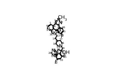 Cn1cc(-c2ccnc3c2C(=O)N(CCC2CCN(C[C@@](O)(Cn4cncn4)c4ccc(F)cc4F)CC2)C3)c(-c2ccc(F)cc2)n1